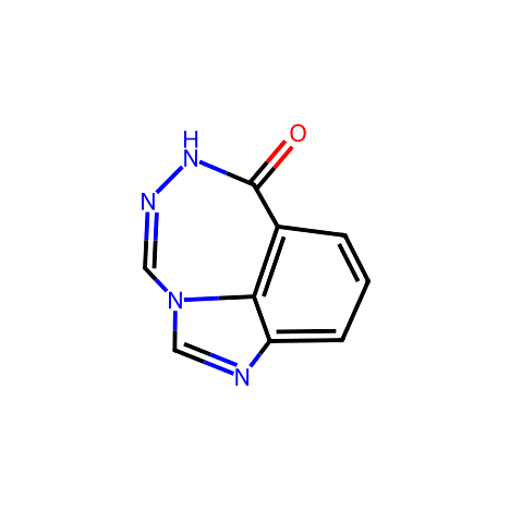 O=C1NN=Cn2cnc3cccc1c32